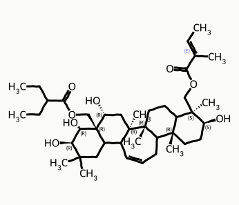 C/C=C(\C)C(=O)OC[C@]1(C)C2CC[C@]3(C)C(CC=CC4C5CC(C)(C)[C@@H](O)[C@H](O)[C@]5(COC(=O)C(CC)CC)[C@H](O)C[C@]43C)[C@@]2(C)CC[C@@H]1O